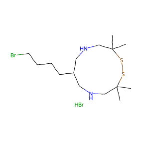 Br.CC1(C)CNCC(CCCCBr)CNCC(C)(C)SS1